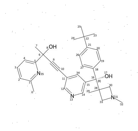 Cc1cccc(C(C)(O)C#Cc2cncc([C@@](O)(c3ccc(C(C)(C)C)cc3)C3(C)CN(C)C3)c2)n1